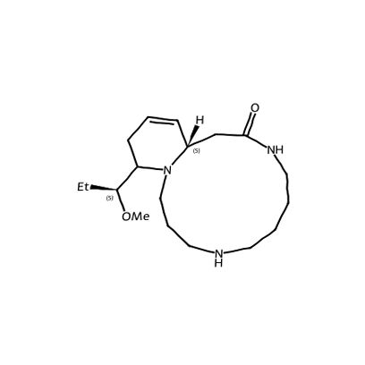 CC[C@H](OC)C1CC=C[C@@H]2CC(=O)NCCCCNCCCN12